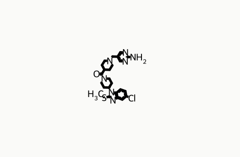 CSc1nc2cc(Cl)ccc2n1C1CCN(C(=O)C2CCN(Cc3cnc(N)nc3)CC2)CC1